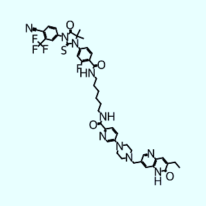 CCc1cc2ncc(CN3CCN(c4ccc(C(=O)NCCCCCCNC(=O)c5ccc(N6C(=S)N(c7ccc(C#N)c(C(F)(F)F)c7)C(=O)C6(C)C)cc5F)nc4)CC3)cc2[nH]c1=O